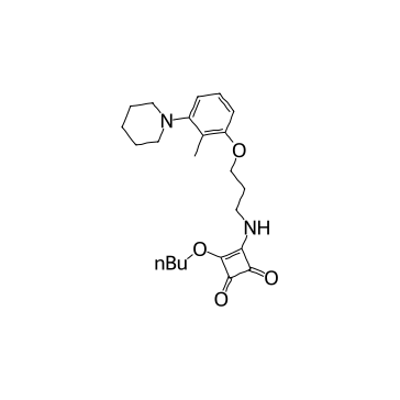 CCCCOc1c(NCCCOc2cccc(N3CCCCC3)c2C)c(=O)c1=O